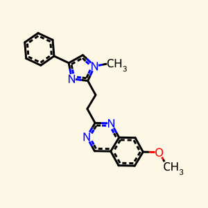 COc1ccc2cnc(CCc3nc(-c4ccccc4)cn3C)nc2c1